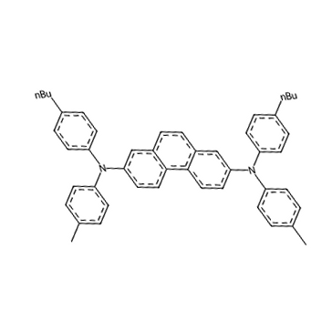 CCCCc1ccc(N(c2ccc(C)cc2)c2ccc3c(ccc4cc(N(c5ccc(C)cc5)c5ccc(CCCC)cc5)ccc43)c2)cc1